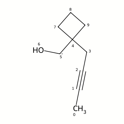 CC#CCC1([CH]O)CCC1